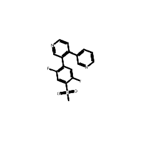 CS(=O)(=O)c1cc(F)c(-c2cnccc2-c2cccnc2)cc1F